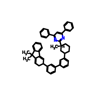 CC1(C)C2=CCC(c3cccc(-c4cccc(C5CCC[C@@](C)(c6nc(-c7ccccc7)cc(-c7ccccc7)n6)C5)c4)c3)C=C2c2ccccc21